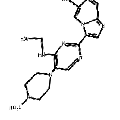 CC(C)(C)CNc1nc(-c2cnc3ccc(C#N)cn23)ncc1N1CCN(C(=O)O)CC1